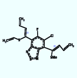 C=C/C=C(\SC=C)c1c(F)c(Cl)c(/C(=C/C=C)SC)c2nsnc12